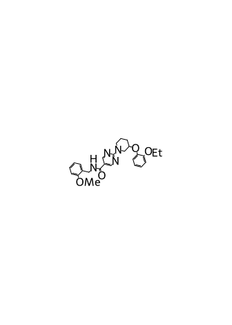 CCOc1ccccc1O[C@@H]1CCCN(c2ncc(C(=O)NCc3ccccc3OC)cn2)C1